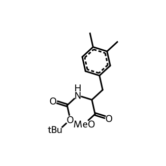 COC(=O)C(Cc1ccc(C)c(C)c1)NC(=O)OC(C)(C)C